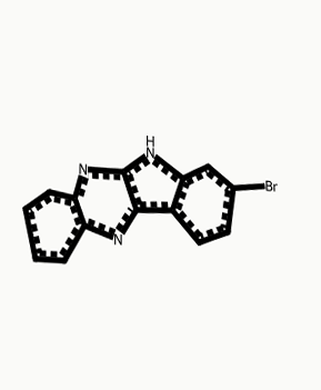 Brc1ccc2c(c1)[nH]c1nc3ccccc3nc12